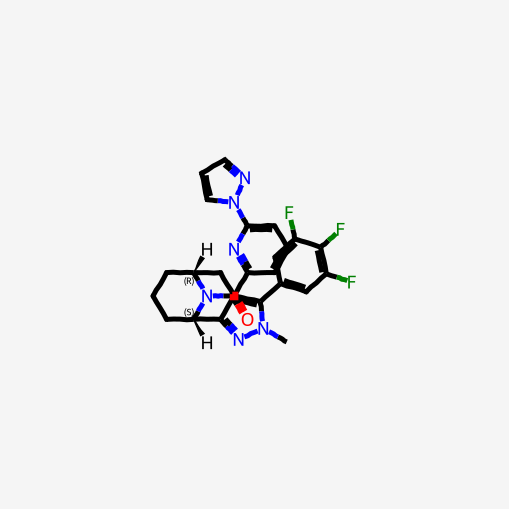 Cn1nc2c(c1-c1cc(F)c(F)c(F)c1)C[C@H]1CCC[C@@H]2N1C(=O)c1cccc(-n2cccn2)n1